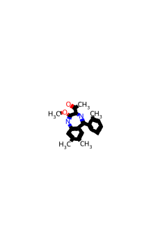 COC1=Nc2cc(C)c(C)cc2C(c2ccccc2C)=NC1C(C)=O